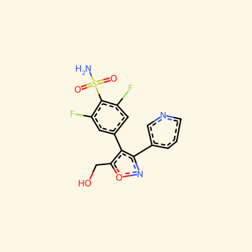 NS(=O)(=O)c1c(F)cc(-c2c(-c3cccnc3)noc2CO)cc1F